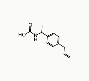 C=CCc1ccc(C(C)NC(=O)O)cc1